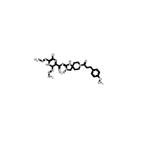 COc1ccc(CCC(=O)N2CCC3(CC2)CN(N)/C(=N\C(=O)C2=NC(Cl)=C(N=NN)NC2N=NN)N3)cc1